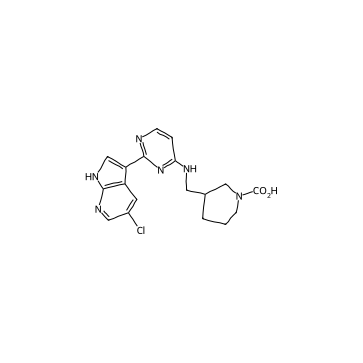 O=C(O)N1CCCC(CNc2ccnc(-c3c[nH]c4ncc(Cl)cc34)n2)C1